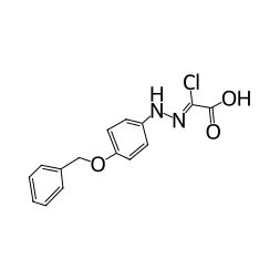 O=C(O)C(Cl)=NNc1ccc(OCc2ccccc2)cc1